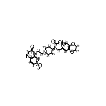 COc1ccc2ncc(=O)n(CCN3CCC(N(Cc4cc5c(cn4)OCCO5)C(=O)O)CC3)c2n1